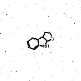 C1=CCC2C(=C1)NC1OCCC12